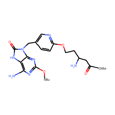 CCCCOc1nc(N)c2[nH]c(=O)n(Cc3ccc(OCCC(N)CC(=O)OC)nc3)c2n1